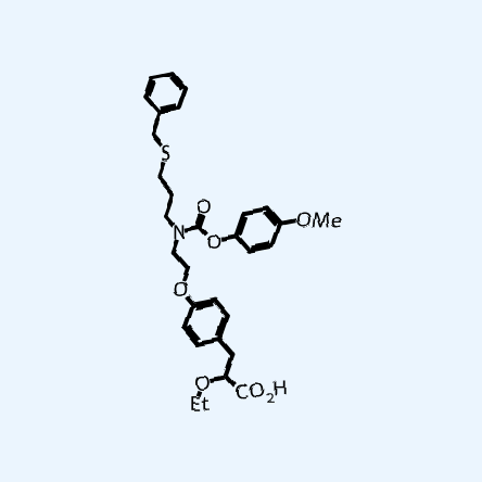 CCOC(Cc1ccc(OCCN(CCCSCc2ccccc2)C(=O)Oc2ccc(OC)cc2)cc1)C(=O)O